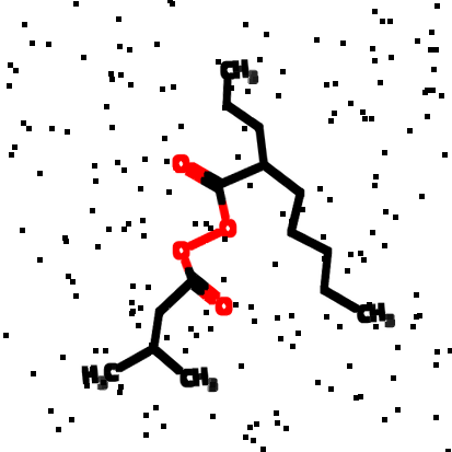 CCCCCC(CCC)C(=O)OOC(=O)CC(C)C